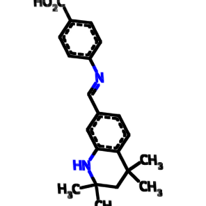 CC1(C)CC(C)(C)c2ccc(C=Nc3ccc(C(=O)O)cc3)cc2N1